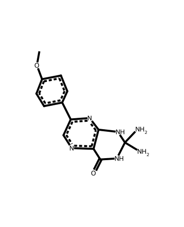 COc1ccc(-c2cnc3c(n2)NC(N)(N)NC3=O)cc1